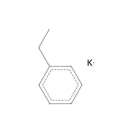 CCc1ccccc1.[K]